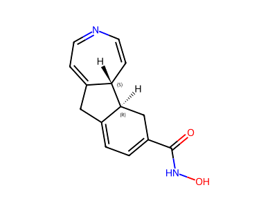 O=C(NO)C1=CC=C2CC3=CC=NC=C[C@@H]3[C@H]2C1